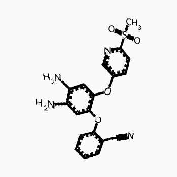 CS(=O)(=O)c1ccc(Oc2cc(N)c(N)cc2Oc2ccccc2C#N)cn1